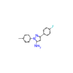 Cc1ccc(-n2nc(-c3ccc(F)cc3)cc2N)cc1